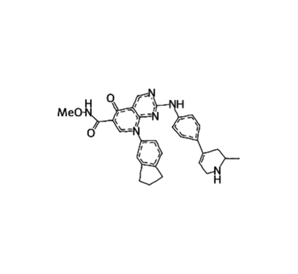 CONC(=O)c1cn(-c2ccc3c(c2)CCC3)c2nc(Nc3ccc(C4=CCNC(C)C4)cc3)ncc2c1=O